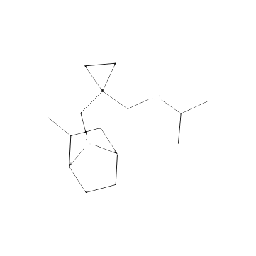 CC(C)OCC1(CN2C3CCC2C(C)C3)CC1